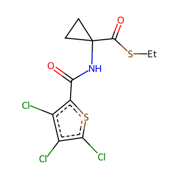 CCSC(=O)C1(NC(=O)c2sc(Cl)c(Cl)c2Cl)CC1